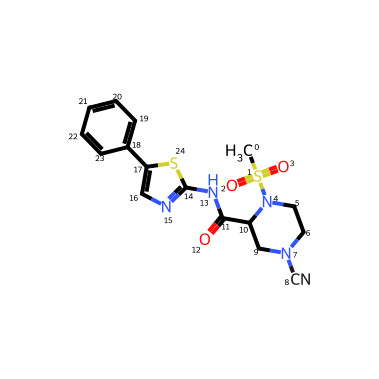 CS(=O)(=O)N1CCN(C#N)CC1C(=O)Nc1ncc(-c2ccccc2)s1